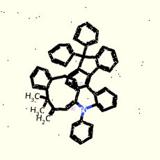 C=C1/C=C(N(c2ccccc2)c2ccccc2-c2cccc3c2-c2ccccc2C3(c2ccccc2)c2ccccc2)\C=C/Cc2ccccc2C1(C)C